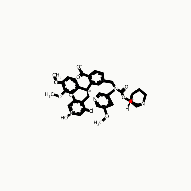 COc1cncc(N(Cc2ccc(C(=O)[O-])c([C@@H](Cc3c(Cl)c[n+](O)cc3Cl)c3ccc(OC)c(OC)c3)c2)C(=O)O[C@H]2CN3CCC2CC3)c1